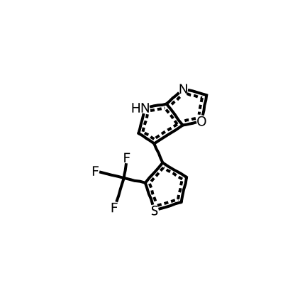 FC(F)(F)c1sccc1-c1c[nH]c2ncoc12